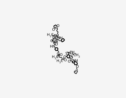 C=C(Cl)[C@@H]1CN(C(=O)c2cc3cc(OCCN4CCCC4)ccc3[nH]2)c2cc(OC(=O)N(C)CCN(C)C(=O)OCc3ccc(NC(=O)CNC(=O)[C@H](CC(C)C)NC(=O)[C@H](Cc4ccccc4)NC(=O)CCCCCN4C(=O)C=CC4=O)cc3)c3scc(C)c3c21